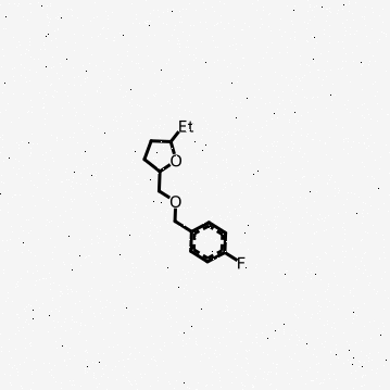 CCC1CCC(COCc2ccc(F)cc2)O1